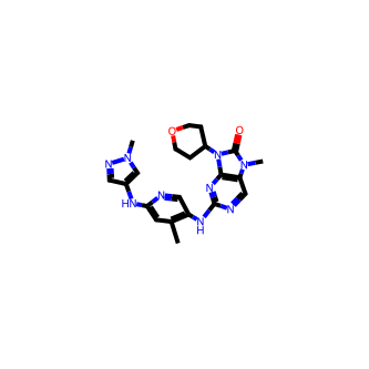 Cc1cc(Nc2cnn(C)c2)ncc1Nc1ncc2c(n1)n(C1CCOCC1)c(=O)n2C